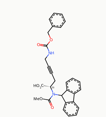 COC(=O)N(C1c2ccccc2-c2ccccc21)[C@@H](CC#CCNC(=O)OCc1ccccc1)C(=O)O